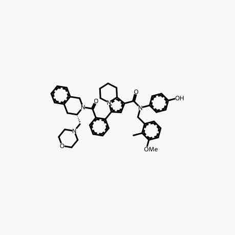 COc1cccc(CN(C(=O)c2cc(-c3ccccc3C(=O)N3Cc4ccccc4C[C@H]3CN3CCOCC3)n3c2CCCC3)c2ccc(O)cc2)c1C